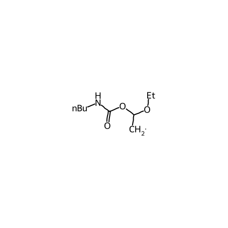 [CH2]C(OCC)OC(=O)NCCCC